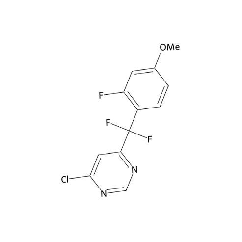 COc1ccc(C(F)(F)c2cc(Cl)ncn2)c(F)c1